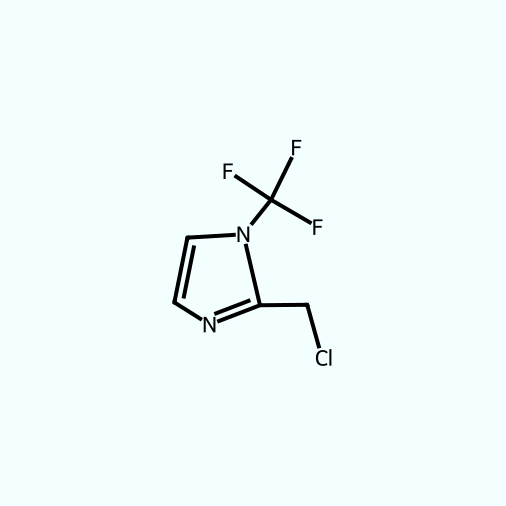 FC(F)(F)n1ccnc1CCl